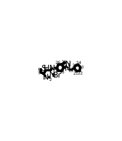 BrN1C=Nc2ccsc2C1Nc1ccc2c(cnn2Cc2ccccc2)c1